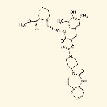 COC(=O)[C@H]1CCCCN1C=C=C=NC(=O)[C@@H](Cc1cc(C)c(O)c(C)c1)OC(=O)N1CCC(N2CCc3ccccc3NC2=O)CC1